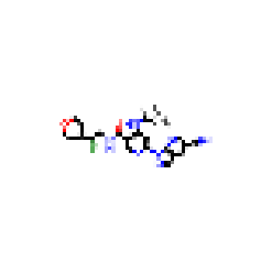 CC(C)Nc1cc(-n2ncc3cc(C#N)cnc32)ncc1C(=O)NCC(F)=C1CCOCC1